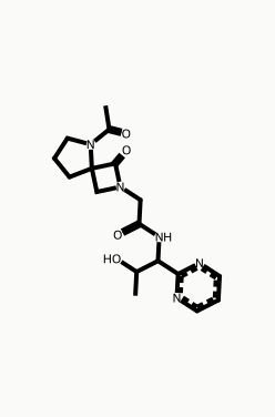 CC(=O)N1CCCC12CN(CC(=O)NC(c1ncccn1)C(C)O)C2=O